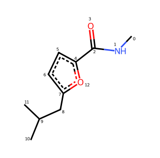 CNC(=O)c1ccc(CC(C)C)o1